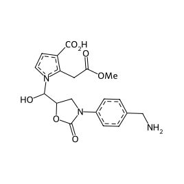 COC(=O)Cc1c(C(=O)O)ccn1C(O)C1CN(c2ccc(CN)cc2)C(=O)O1